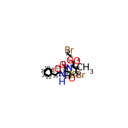 CC1=C(C(=O)OCCBr)N2C(=O)C(NC(=O)Cc3ccccc3)[C@@H]2[S+]([O-])C1Br